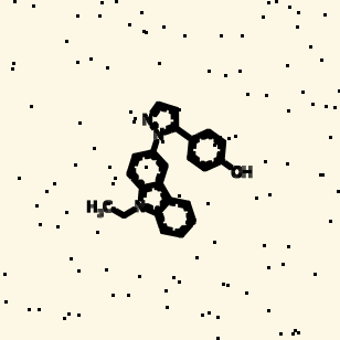 CCn1c2ccccc2c2cc(-n3nccc3-c3ccc(O)cc3)ccc21